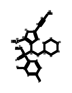 COP(=O)(c1ccc(C)cc1C)N(CC1CCOCC1)c1cc(C#CC(C)(C)C)sc1C(=O)O